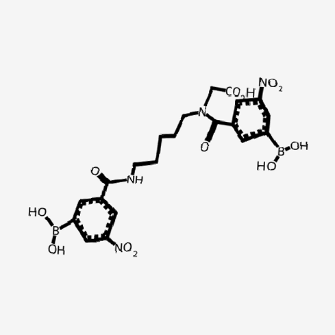 O=C(O)CN(CCCCCNC(=O)c1cc(B(O)O)cc([N+](=O)[O-])c1)C(=O)c1cc(B(O)O)cc([N+](=O)[O-])c1